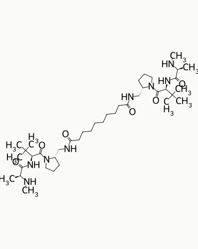 CN[C@@H](C)C(=O)N[C@H](C(=O)N1CCC[C@H]1CNC(=O)CCCCCCCCC(=O)NC[C@@H]1CCCN1C(=O)[C@@H](NC(=O)[C@H](C)NC)C(C)(C)C)C(C)(C)C